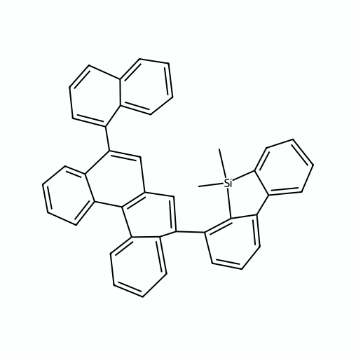 C[Si]1(C)c2ccccc2-c2cccc(-c3cc4cc(-c5cccc6ccccc56)c5ccccc5c4c4ccccc34)c21